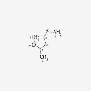 CC1CC(CN)NO1